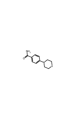 NC(=O)c1ccc(N2CCSCC2)cc1